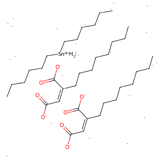 CCCCCCCC/C(=C/C(=O)[O-])C(=O)[O-].CCCCCCCC/C(=C/C(=O)[O-])C(=O)[O-].CCCCC[CH2][SnH2+4][CH2]CCCCC